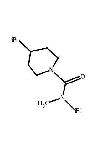 CC(C)C1CCN(C(=O)N(C)C(C)C)CC1